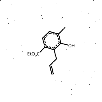 C=CCc1c(C(=O)OCC)ccc(C)c1O